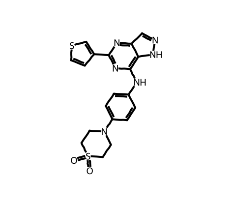 O=S1(=O)CCN(c2ccc(Nc3nc(-c4ccsc4)nc4cn[nH]c34)cc2)CC1